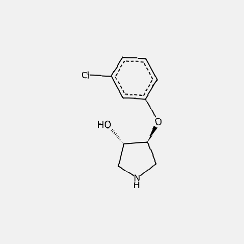 O[C@H]1CNC[C@@H]1Oc1cccc(Cl)c1